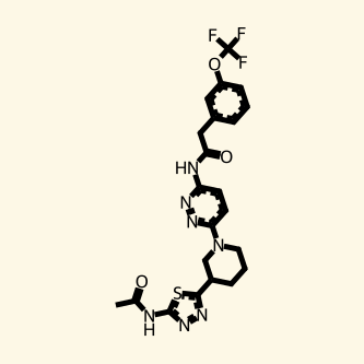 CC(=O)Nc1nnc(C2CCCN(c3ccc(NC(=O)Cc4cccc(OC(F)(F)F)c4)nn3)C2)s1